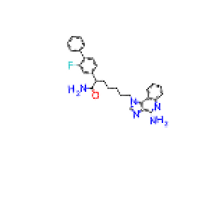 NC(=O)C(CCCCCn1cnc2c(N)nc3ccccc3c21)c1ccc(-c2ccccc2)c(F)c1